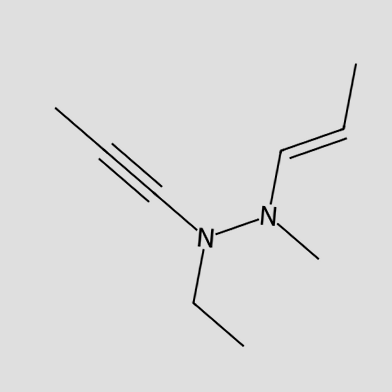 CC#CN(CC)N(C)C=CC